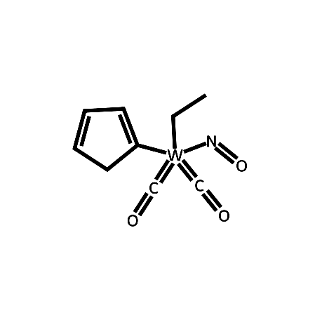 C[CH2][W](=[C]=O)(=[C]=O)([N]=O)[C]1=CC=CC1